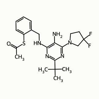 CC(=O)Sc1ccccc1CNc1nc(C(C)(C)C)nc(N2CCC(F)(F)C2)c1N